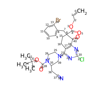 C=CCOC(=O)C1(Cc2ccccc2Br)CCc2c(nc(Cl)nc2N2CCN(C(=O)OC(C)(C)C)C(CC#N)C2)C1=O